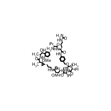 CC[C@H](C)[C@@H]([C@@H](CC(=O)NCCC[C@@H]1C[C@@]1(OC)[C@@H](C)C(=O)N[C@H](C)[C@@H](O)c1ccccc1)OC)N(C)C(=O)[C@@H](NC(=O)[C@H](C(C)C)N(C)C(=O)OCc1ccc(NC(=O)[C@H](CCCNC(N)=O)NC(=O)[C@@H](N)C(C)C)cc1)C(C)C